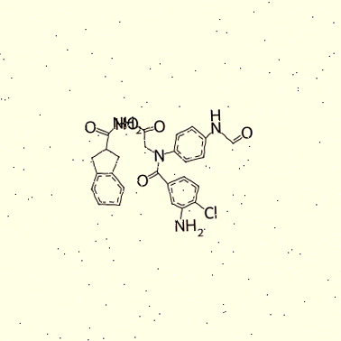 NC(=O)C1Cc2ccccc2C1.Nc1cc(C(=O)N(CC(=O)O)c2ccc(NC=O)cc2)ccc1Cl